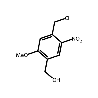 COc1cc(CCl)c([N+](=O)[O-])cc1CO